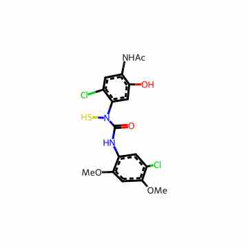 COc1cc(OC)c(NC(=O)N(S)c2cc(O)c(NC(C)=O)cc2Cl)cc1Cl